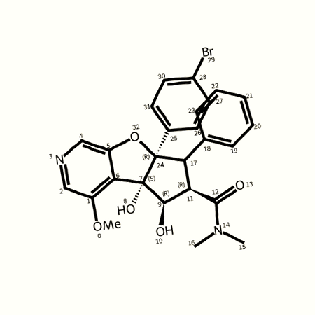 COc1cncc2c1[C@]1(O)[C@H](O)[C@H](C(=O)N(C)C)C(c3ccccc3)[C@]1(c1ccc(Br)cc1)O2